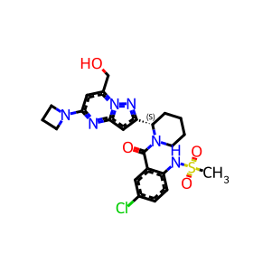 CS(=O)(=O)Nc1ccc(Cl)cc1C(=O)N1CCCC[C@H]1c1cc2nc(N3CCC3)cc(CO)n2n1